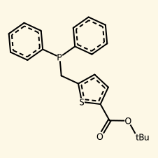 CC(C)(C)OC(=O)c1ccc(CP(c2ccccc2)c2ccccc2)s1